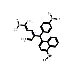 C=C/C(=C\C=C(/C)N(CC)CC)C(c1ccc(N(CC)CC)cc1)c1ccc(NCC)c2ccccc12